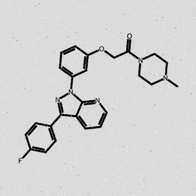 CN1CCN(C(=O)COc2cccc(-n3nc(-c4ccc(F)cc4)c4cccnc43)c2)CC1